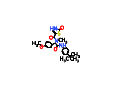 COc1ccc(C(C(=O)Nc2ccc(C(C)(C)C)cc2)N(C)C(=O)c2c[nH]c(=O)s2)cc1